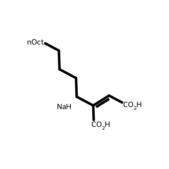 CCCCCCCCCCCCC(=CC(=O)O)C(=O)O.[NaH]